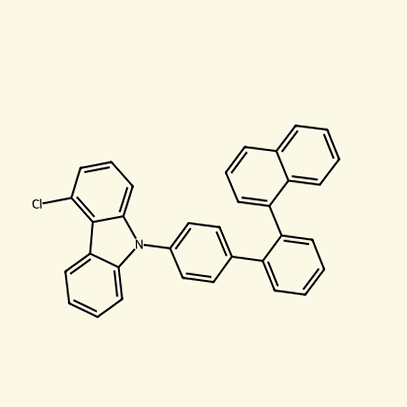 Clc1cccc2c1c1ccccc1n2-c1ccc(-c2ccccc2-c2cccc3ccccc23)cc1